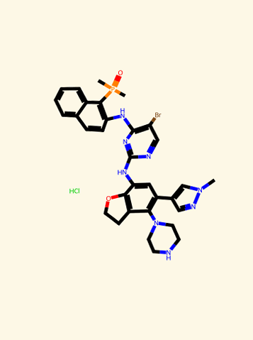 Cl.Cn1cc(-c2cc(Nc3ncc(Br)c(Nc4ccc5ccccc5c4P(C)(C)=O)n3)c3c(c2N2CCNCC2)CCO3)cn1